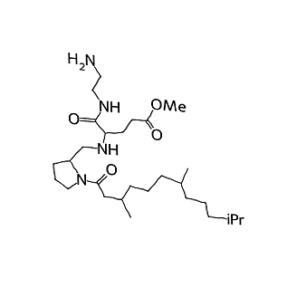 COC(=O)CCC(NCC1CCCN1C(=O)CC(C)CCCC(C)CCCC(C)C)C(=O)NCCN